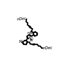 CCCCCCCCCCCCCCC#CCCc1ccccc1C1=CC(CCCC)=C(c2ccccc2CCC#CCCCCCCCCCCCCCC)[N+]1=[N-].[Ni]